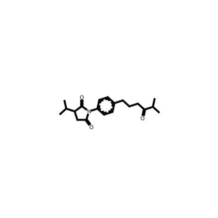 CC(C)C(=O)CCCc1ccc(N2C(=O)CC(C(C)C)C2=O)cc1